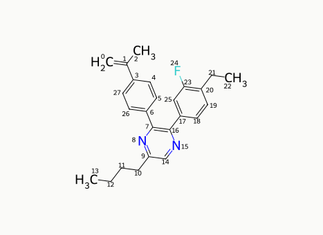 C=C(C)c1ccc(-c2nc(CCCC)cnc2-c2ccc(CC)c(F)c2)cc1